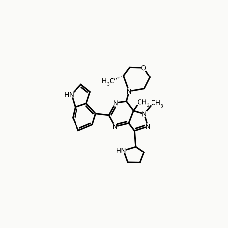 C[C@@H]1COCCN1C1N=C(c2cccc3[nH]ccc23)N=C2C(C3CCCN3)=NN(C)C21C